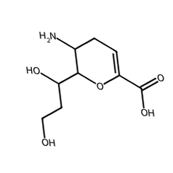 NC1CC=C(C(=O)O)OC1C(O)CCO